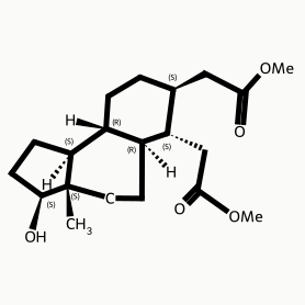 COC(=O)C[C@@H]1CC[C@@H]2[C@H](CC[C@]3(C)[C@@H](O)CC[C@@H]23)[C@H]1CC(=O)OC